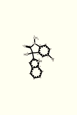 CN1C(=O)C(O)(c2cc3ccccc3[nH]2)c2cc(Br)ccc21